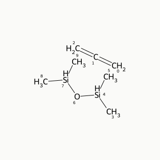 C=C=C.C[SiH](C)O[SiH](C)C